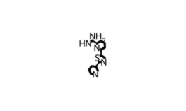 N=C(N)c1cccc(-c2cnc(-c3cccnc3)s2)n1